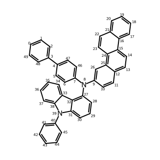 c1ccc(-c2ccc(N(c3ccc4ccc5c6ccccc6ccc5c4c3)c3cccc4c3c3ccccc3n4-c3ccccc3)cc2)cc1